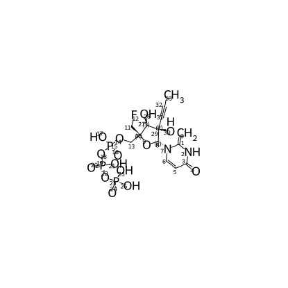 C=C1NC(=O)C=CN1[C@@H]1O[C@](CF)(COP(=O)(O)OP(=O)(O)OP(=O)(O)O)[C@@H](O)[C@]1(O)C#CC